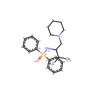 CC(C)C(CN1CCCCC1)NP(=O)(c1ccccc1)c1ccccc1